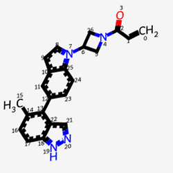 C=CC(=O)N1CC(n2ccc3cc(-c4c(C)ccc5[nH]ncc45)ccc32)C1